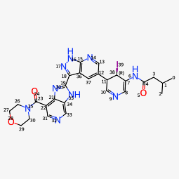 CC(C)CC(=O)NC1=CN=CC(c2cnc3[nH]nc(-c4nc5c(C(=O)N6CCOCC6)cncc5[nH]4)c3c2)[C@H]1I